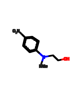 CNN(CCO)c1ccc([N+](=O)[O-])cc1